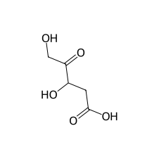 O=C(O)CC(O)C(=O)CO